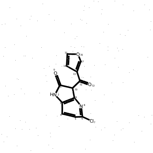 O=C1Nc2ccc(Cl)nc2C1C(=O)c1ccoc1